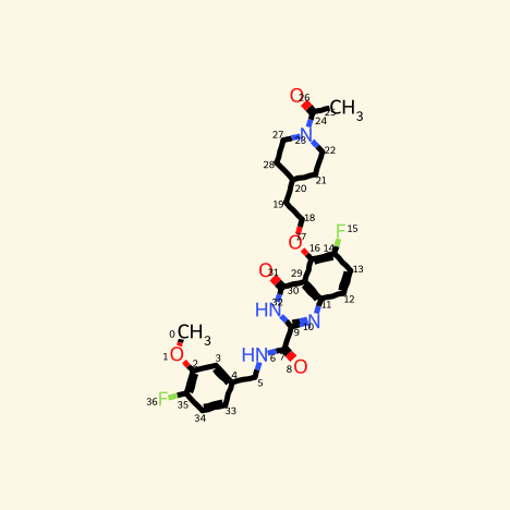 COc1cc(CNC(=O)c2nc3ccc(F)c(OCCC4CCN(C(C)=O)CC4)c3c(=O)[nH]2)ccc1F